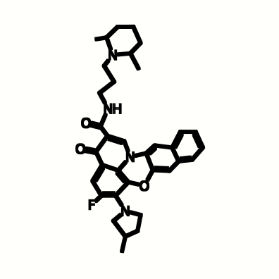 CC1CCN(c2c(F)cc3c(=O)c(C(=O)NCCCN4C(C)CCCC4C)cn4c3c2Oc2cc3ccccc3cc2-4)C1